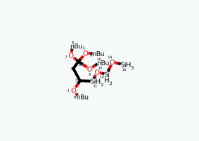 CCCCOC(CC(OCCCC)(OCCCC)OCCCC)[SiH2]O[SiH2]O[SiH3]